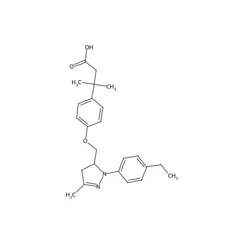 CCc1ccc(N2N=C(C)CC2COc2ccc(C(C)(C)CC(=O)O)cc2)cc1